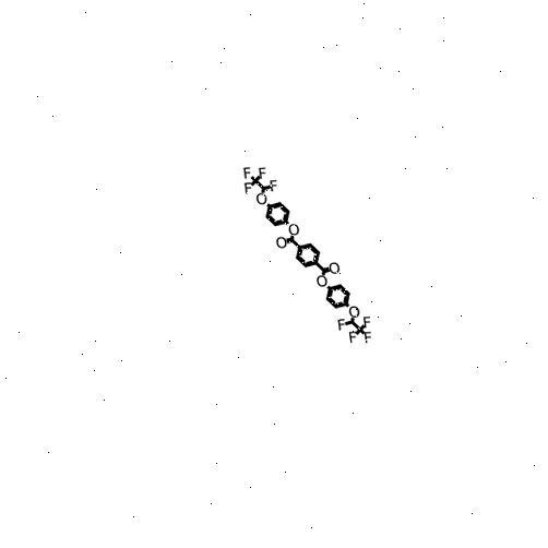 O=C(Oc1ccc(OC(F)C(F)(F)F)cc1)c1ccc(C(=O)Oc2ccc(OC(F)C(F)(F)F)cc2)cc1